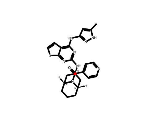 Cc1cc(Nc2nc(N[C@@H]3C[C@H]4CCC[C@@H](C3)N4C(=O)c3ccncc3)nc3sccc23)n[nH]1